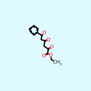 CCOC(=O)C(=O)CC(=O)CC(=O)c1ccccc1